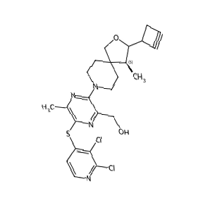 Cc1nc(N2CCC3(CC2)COC(C2C#CC2)[C@H]3C)c(CO)nc1Sc1ccnc(Cl)c1Cl